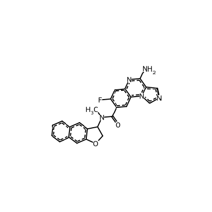 CN(C(=O)c1cc2c(cc1F)nc(N)c1cncn12)C1COc2cc3ccccc3cc21